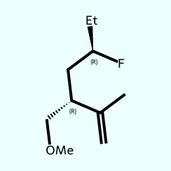 C=C(C)[C@H](COC)C[C@H](F)CC